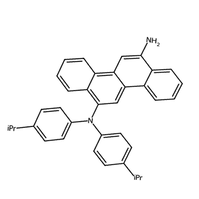 CC(C)c1ccc(N(c2ccc(C(C)C)cc2)c2cc3c4ccccc4c(N)cc3c3ccccc23)cc1